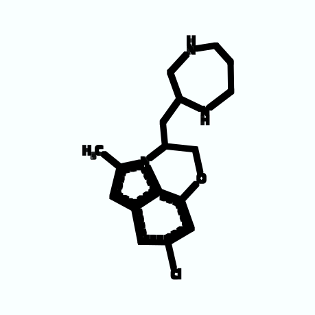 Cc1cc2cc(Cl)cc3c2n1C(CC1CNCCCN1)CO3